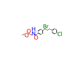 CCOC(=O)CNC(=O)c1ccc(C(Br)CCc2ccc(Cl)cc2)cc1